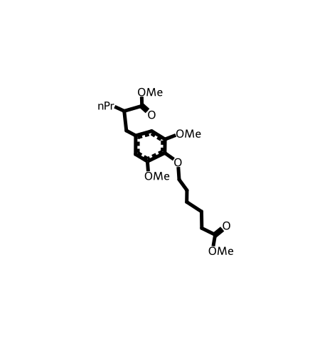 CCCC(Cc1cc(OC)c(OCCCCCC(=O)OC)c(OC)c1)C(=O)OC